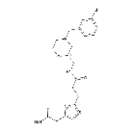 NC(=O)Cc1csc(SCC(=O)NC[C@H]2CN(Cc3cccc(Cl)c3)CCO2)n1